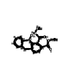 CCCCOC(=O)c1ccc2c(c1C(=O)OCCCC)[S+]([O-])c1ccccc1C2